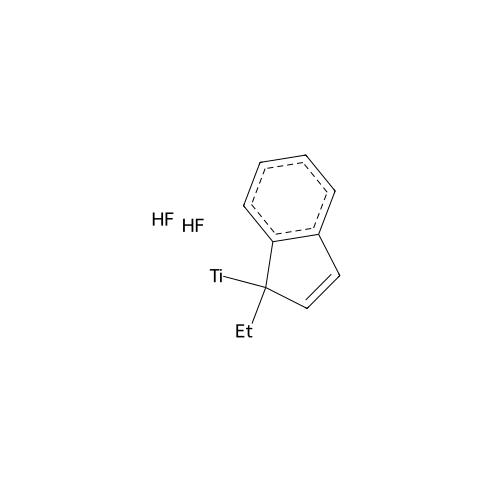 CC[C]1([Ti])C=Cc2ccccc21.F.F